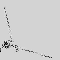 CCCCCCCCCCCCCCCCCC(=O)OCC(COP(=O)(O)OCCN(C)C)OC(=O)CCCCCCCCCCCCCCCCC